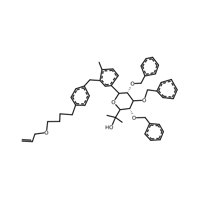 C=CCOCCCCc1ccc(Cc2cc(C3OC(C(C)(C)O)[C@@H](OCc4ccccc4)C(OCc4ccccc4)[C@H]3OCc3ccccc3)ccc2C)cc1